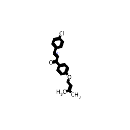 CC(C)=CCOc1ccc(C(=O)/C=C/c2ccc(Cl)cc2)cc1